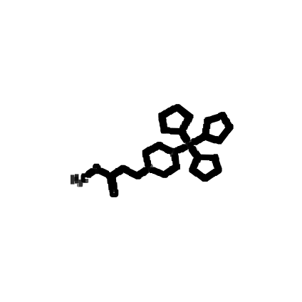 COC(=O)CCN1CCN([Si](C2CCCC2)(C2CCCC2)C2CCCC2)CC1